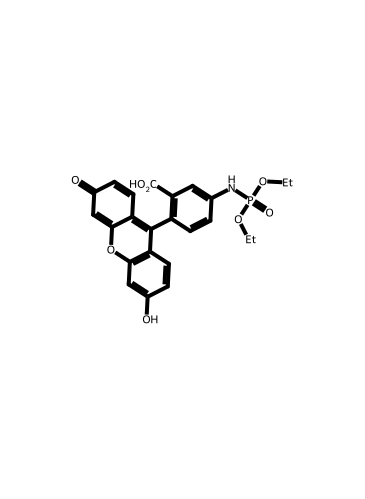 CCOP(=O)(Nc1ccc(-c2c3ccc(=O)cc-3oc3cc(O)ccc23)c(C(=O)O)c1)OCC